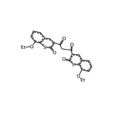 CCOc1cccc2cc(C(=O)CC(=O)c3cc4cccc(OCC)c4sc3=O)c(=O)sc12